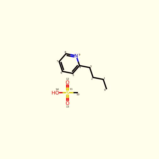 CCCCc1ccccn1.CS(=O)(=O)O